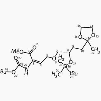 COC(=O)/C(=C\COC[C@H](CCC1(C)OCCO1)O[Si](C)(C)C(C)(C)C)NC(=O)OC(C)(C)C